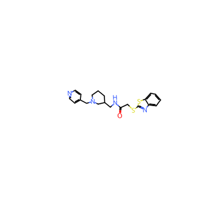 O=C(CSc1nc2ccccc2s1)NCC1CCCN(Cc2ccncc2)C1